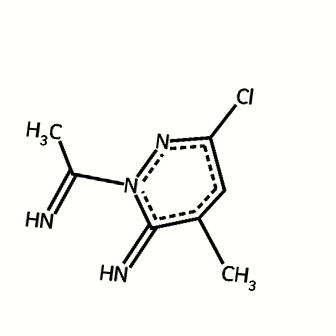 CC(=N)n1nc(Cl)cc(C)c1=N